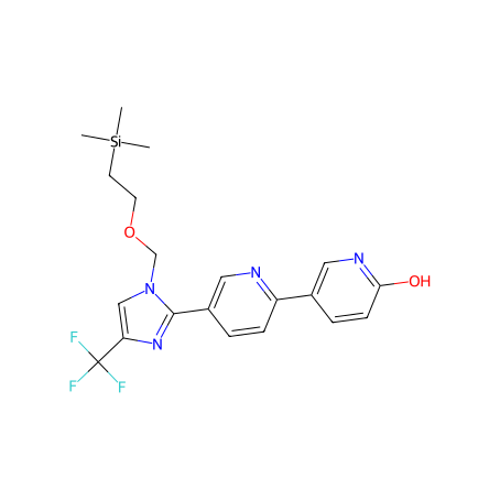 C[Si](C)(C)CCOCn1cc(C(F)(F)F)nc1-c1ccc(-c2ccc(O)nc2)nc1